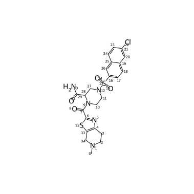 CN1CCc2nc(C(=O)N3CCN(S(=O)(=O)c4ccc5cc(Cl)ccc5c4)CC3C(N)=O)sc2C1